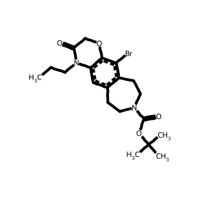 CCCN1C(=O)COc2c1cc1c(c2Br)CCN(C(=O)OC(C)(C)C)CC1